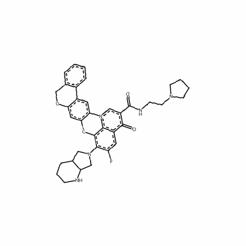 O=C(NCCN1CCCC1)c1cn2c3c(c(N4CC5CCCNC5C4)c(F)cc3c1=O)Oc1cc3c(cc1-2)-c1ccccc1CO3